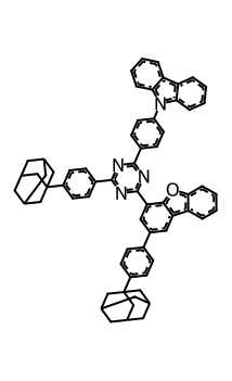 c1ccc2c(c1)oc1c(-c3nc(-c4ccc(-n5c6ccccc6c6ccccc65)cc4)nc(-c4ccc(C56CC7CC(CC(C7)C5)C6)cc4)n3)cc(-c3ccc(C45CC6CC(CC(C6)C4)C5)cc3)cc12